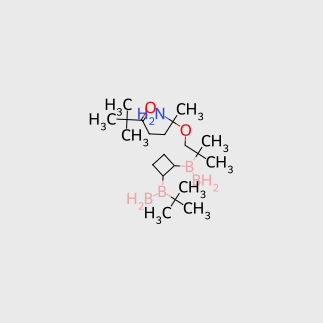 BB(C1CCC1B(B)C(C)(C)COC(C)(N)CCC(=O)C(C)(C)C)C(C)(C)C